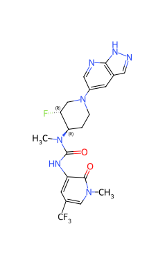 CN(C(=O)Nc1cc(C(F)(F)F)cn(C)c1=O)[C@@H]1CCN(c2cnc3[nH]ncc3c2)C[C@H]1F